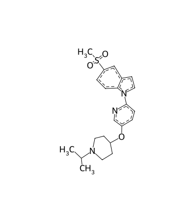 CC(C)N1CCC(Oc2ccc(-n3ccc4cc(S(C)(=O)=O)ccc43)nc2)CC1